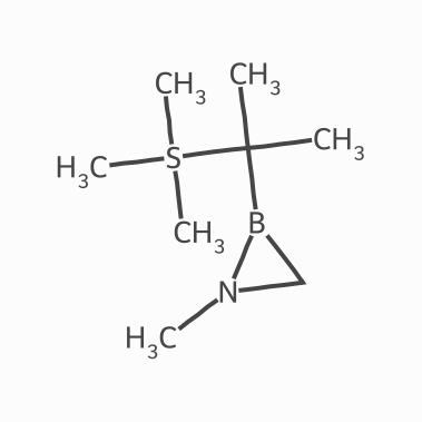 CN1CB1C(C)(C)S(C)(C)C